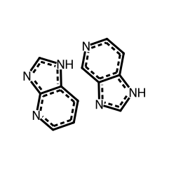 c1cc2[nH]cnc2cn1.c1cnc2nc[nH]c2c1